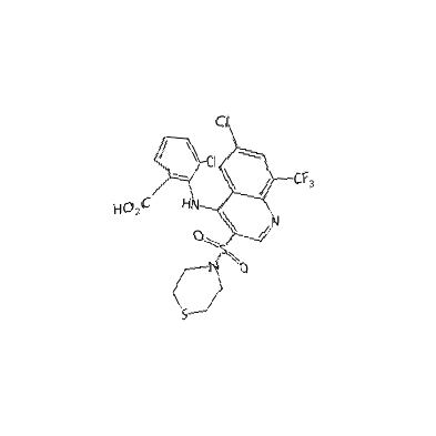 O=C(O)c1cccc(Cl)c1Nc1c(S(=O)(=O)N2CCSCC2)cnc2c(C(F)(F)F)cc(Cl)cc12